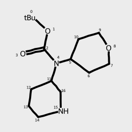 CC(C)(C)OC(=O)N(C1CCOCC1)C1CCCNC1